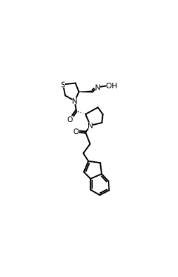 O=C([C@@H]1CCCN1C(=O)CCC1=Cc2ccccc2C1)N1CSC[C@H]1C=NO